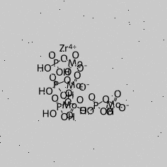 O=P(O)(O)[O][Mo](=[O])(=[O])[O-].O=P(O)(O)[O][Mo](=[O])(=[O])[O-].O=P(O)(O)[O][Mo](=[O])(=[O])[O-].O=P(O)(O)[O][Mo](=[O])(=[O])[O-].[Zr+4]